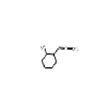 C=C=CC1CCCC[C@H]1C